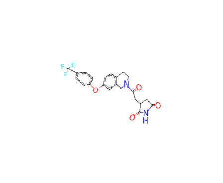 O=C1CC(CC(=O)N2CCc3ccc(Oc4ccc(C(F)(F)F)cc4)cc3C2)C(=O)N1